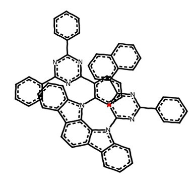 c1ccc(-c2nc(-c3ccccc3)nc(-c3ccccc3-n3c4ccccc4c4ccc5c6ccccc6n(-c6nc(-c7ccccc7)nc(-c7cccc8ccccc78)n6)c5c43)n2)cc1